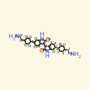 NCCc1ccc(-c2ccc3c(c2)NC(=O)/C3=C2/C(=O)Nc3cc(-c4ccc(CCN)cc4)ccc32)cc1